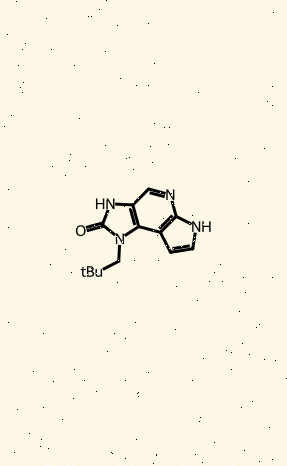 CC(C)(C)Cn1c(=O)[nH]c2cnc3[nH]ccc3c21